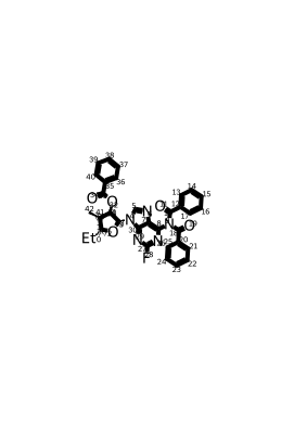 CC[C@H]1O[C@@H](n2cnc3c(N(C(=O)c4ccccc4)C(=O)c4ccccc4)nc(F)nc32)[C@H](OC(=O)c2ccccc2)[C@@H]1C